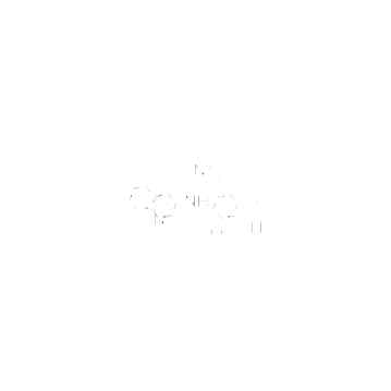 COc1cc(C(CNc2cnc3ccccc3c2)P2(=O)[C@@H](C)CCN2C)cc(OC)c1O